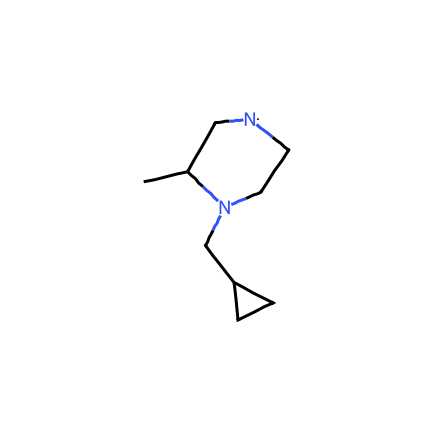 CC1C[N]CCN1CC1CC1